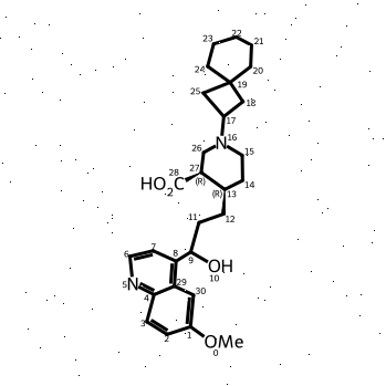 COc1ccc2nccc(C(O)CC[C@@H]3CCN(C4CC5(CCCCC5)C4)C[C@@H]3C(=O)O)c2c1